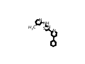 Cc1ccnc(Nc2nc(-c3cc(-c4ccccc4)ccn3)cs2)c1